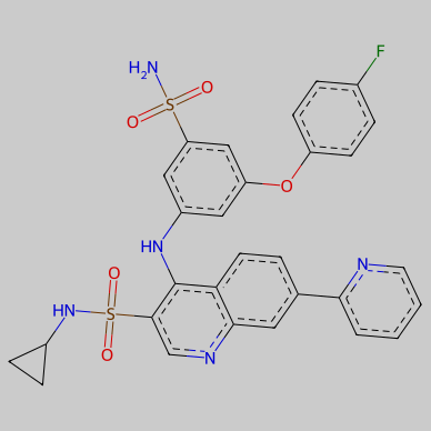 NS(=O)(=O)c1cc(Nc2c(S(=O)(=O)NC3CC3)cnc3cc(-c4ccccn4)ccc23)cc(Oc2ccc(F)cc2)c1